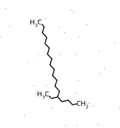 [CH2]CCCC(CC)CCCCCCCCCCCCCC